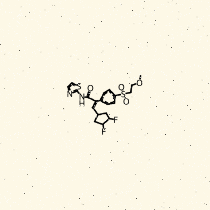 COCCS(=O)(=O)c1ccc(/C(=C\C2CC(F)C(F)C2)C(=O)Nc2nccs2)cc1